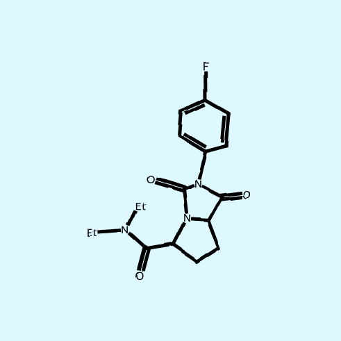 CCN(CC)C(=O)C1CCC2C(=O)N(c3ccc(F)cc3)C(=O)N12